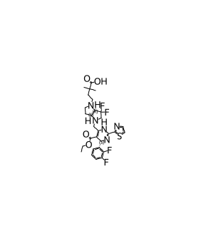 CCOC(=O)C1=C(CN2CC(F)(F)[C@H]3[C@@H]2CCN3CCC(C)(C)C(=O)O)NC(c2nccs2)=N[C@@H]1c1cccc(F)c1F